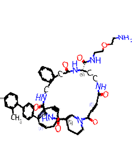 Cc1ccccc1-c1ccc(C[C@@H]2NC(=O)[C@]3(C4C#C/C=C\C=C/C4)CCCN(C3)C(=O)/C=C/C(=O)NCC[C@@H](C(=O)NCCOCCN)NC(=O)Cc3ccccc3CNC2=O)cc1